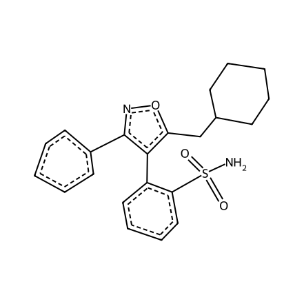 NS(=O)(=O)c1ccccc1-c1c(-c2ccccc2)noc1CC1CCCCC1